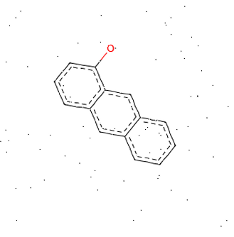 [O]c1cccc2cc3ccccc3cc12